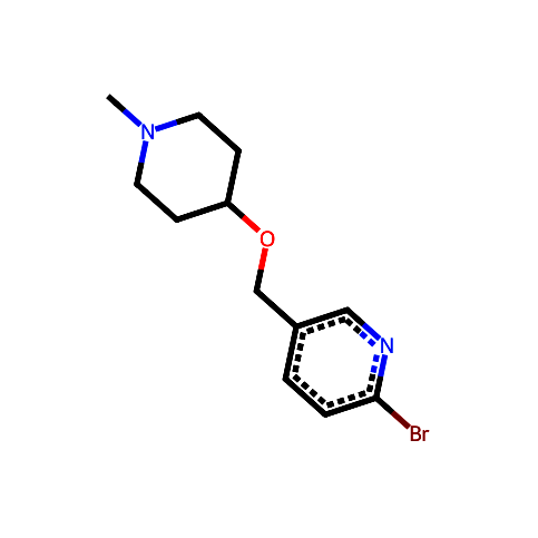 CN1CCC(OCc2ccc(Br)nc2)CC1